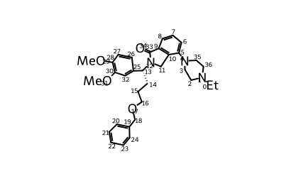 CCN1CCN(c2cccc3c2CN([C@H](CCCOCc2ccccc2)c2ccc(OC)c(OC)c2)C3=O)CC1